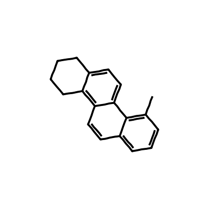 Cc1cccc2ccc3c4c(ccc3c12)CCCC4